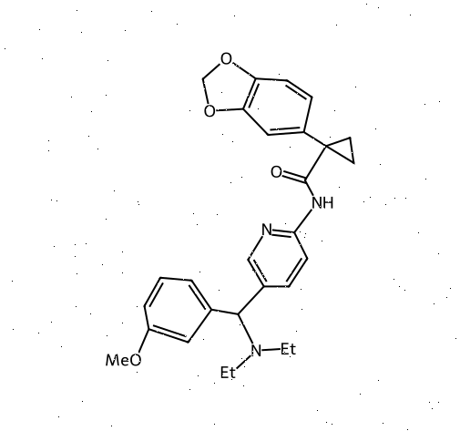 CCN(CC)C(c1ccc(NC(=O)C2(c3ccc4c(c3)OCO4)CC2)nc1)c1cccc(OC)c1